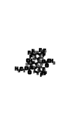 CCOC(=O)N1c2ccc(C(F)(F)F)cc2C(C(COC(C)=O)c2cc(C(F)(F)F)cc(C(F)(F)F)c2)CC1CC